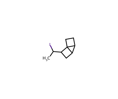 CC(I)C1CC2C3CCC132